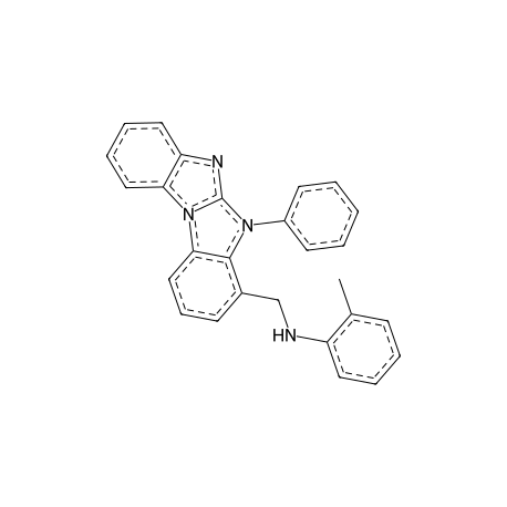 Cc1ccccc1NCc1cccc2c1n(-c1ccccc1)c1nc3ccccc3n21